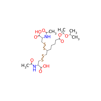 CC(=O)NC(CSSCC(CCCCC(=O)OC(C)OC(C)C)SSCC(NC(C)=O)C(=O)O)C(=O)O